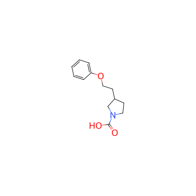 O=C(O)N1CCC(CCOc2ccccc2)C1